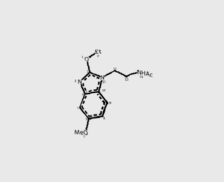 CCOc1nc2cc(OC)ccc2n1CCNC(C)=O